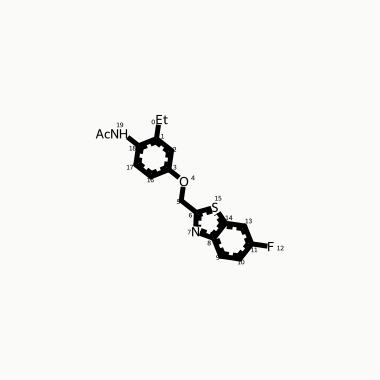 CCc1cc(OCc2nc3ccc(F)cc3s2)ccc1NC(C)=O